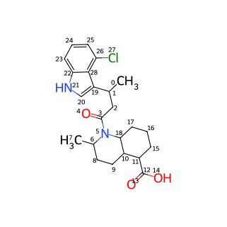 CC(CC(=O)N1C(C)CCC2C(C(=O)O)CCCC21)c1c[nH]c2cccc(Cl)c12